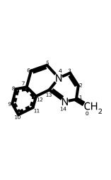 C=C1C=CN2C=Cc3ccccc3C2=N1